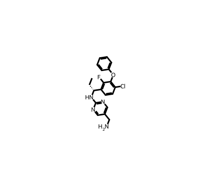 CC[C@@H](Nc1ncc(CN)cn1)c1ccc(Cl)c(Oc2ccccc2)c1F